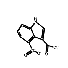 O=C(O)c1c[nH]c2cccc([N+](=O)[O-])c12